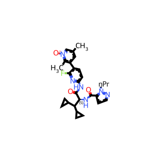 CCCn1nccc1C(=O)N[C@H](C(=O)Nc1ccc(-c2cc(C)c[n+]([O-])c2C)c(F)n1)C(C1CC1)C1CC1